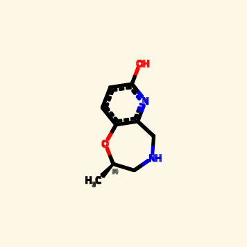 C[C@@H]1CNCc2nc(O)ccc2O1